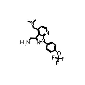 CN(C)Cc1ccnc2c1c(CN)nn2-c1ccc(OC(F)(F)F)cc1